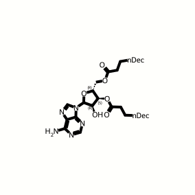 CCCCCCCCCCCCC(=O)OC[C@H]1OC(n2cnc3c(N)ncnc32)[C@H](O)[C@@H]1OC(=O)CCCCCCCCCCCC